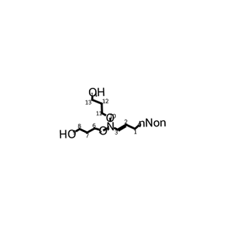 CCCCCCCCCCC=CN(OCCCO)OCCCO